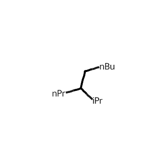 [CH2]CCC(CCCCC)C(C)C